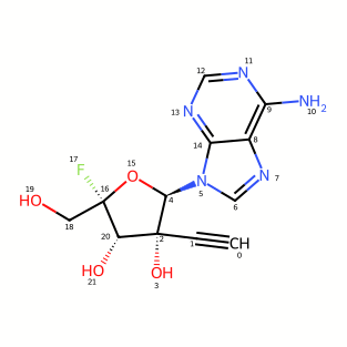 C#C[C@]1(O)[C@H](n2cnc3c(N)ncnc32)O[C@](F)(CO)[C@H]1O